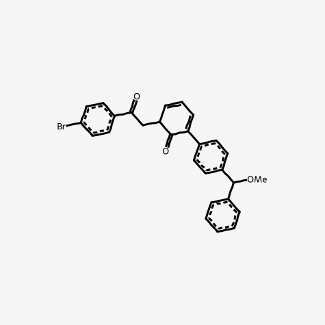 [CH2]OC(c1ccccc1)c1ccc(C2=CC=CC(CC(=O)c3ccc(Br)cc3)C2=O)cc1